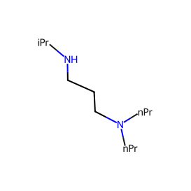 CCCN(CCC)CCCNC(C)C